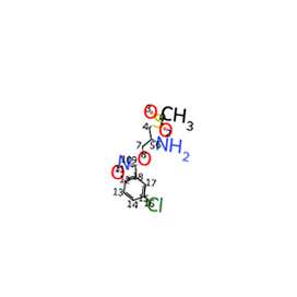 CS(=O)(=O)CC(N)COc1noc2ccc(Cl)cc12